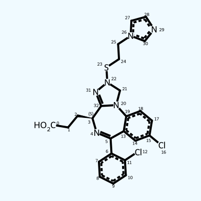 O=C(O)CC[C@@H]1N=C(c2ccccc2Cl)c2cc(Cl)ccc2N2CN(SCCn3ccnc3)N=C12